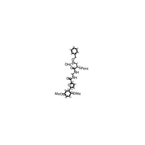 CCCCC[C@H](CN(C=O)OCc1ccccc1)C(=O)NCNC(=O)c1ccc(-c2cc(OC)ccc2OC)o1